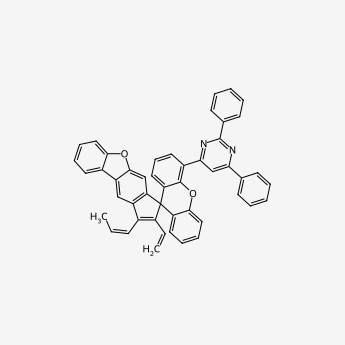 C=CC1=C(/C=C\C)c2cc3c(cc2C12c1ccccc1Oc1c(-c4cc(-c5ccccc5)nc(-c5ccccc5)n4)cccc12)oc1ccccc13